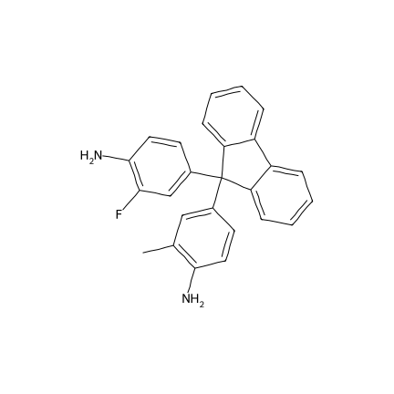 Cc1cc(C2(c3ccc(N)c(F)c3)c3ccccc3-c3ccccc32)ccc1N